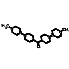 CN1CCN(N2CCC(C(=O)C3CCN(N4CCN(C)CC4)CC3)CC2)CC1